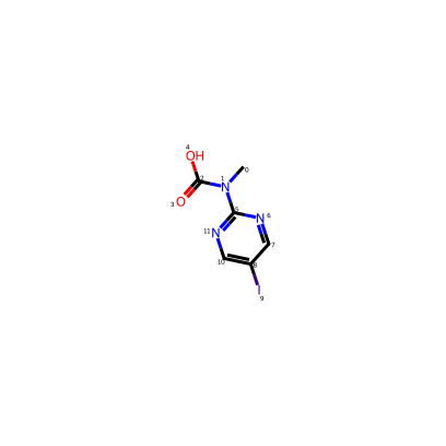 CN(C(=O)O)c1ncc(I)cn1